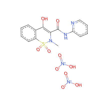 CN1C(C(=O)Nc2ccccn2)=C(O)c2ccccc2S1(=O)=O.O=[N+]([O-])O.O=[N+]([O-])O